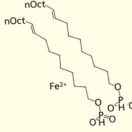 CCCCCCCCC=CCCCCCCCCO[PH](=O)[O-].CCCCCCCCC=CCCCCCCCCO[PH](=O)[O-].[Fe+2]